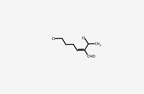 CC(Cl)/C(C=O)=C\CCCCl